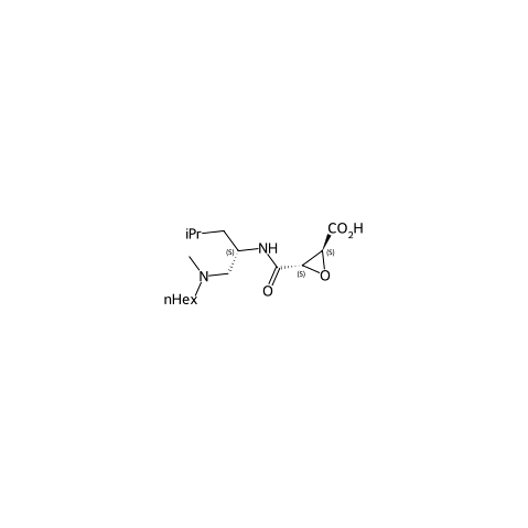 CCCCCCN(C)C[C@H](CC(C)C)NC(=O)[C@H]1O[C@@H]1C(=O)O